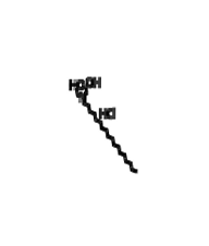 CCCCCCCCCCCCCCCCCCN(CC)CC(O)O.Cl